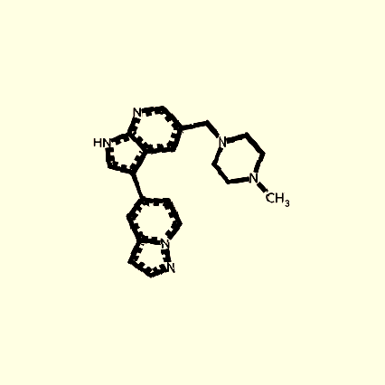 CN1CCN(Cc2cnc3[nH]cc(-c4ccn5nccc5c4)c3c2)CC1